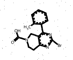 Cc1ccccc1-c1nc(Br)nc2c1CN(C(=O)O)CC2